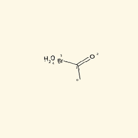 CC(=O)Br.O